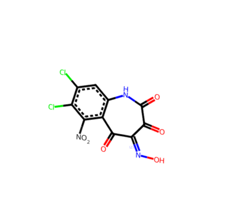 O=C1Nc2cc(Cl)c(Cl)c([N+](=O)[O-])c2C(=O)/C(=N/O)C1=O